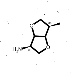 C[C@@H]1COC2C1OC[C@H]2N